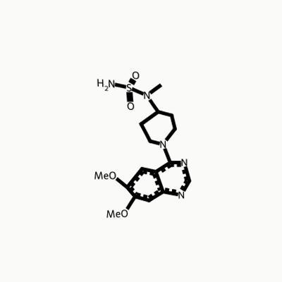 COc1cc2ncnc(N3CCC(N(C)S(N)(=O)=O)CC3)c2cc1OC